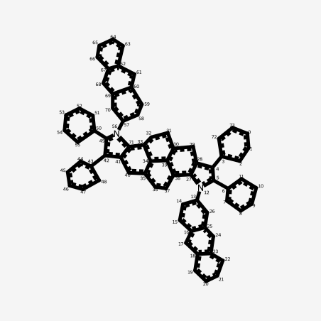 c1ccc(-c2c(-c3ccccc3)n(-c3ccc4cc5ccccc5cc4c3)c3c2cc2ccc4c5c(ccc3c25)cc2c(-c3ccccc3)c(-c3ccccc3)n(-c3ccc5cc6ccccc6cc5c3)c24)cc1